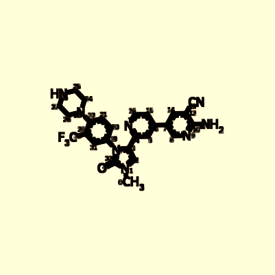 Cn1cc(-c2cc(-c3cnc(N)c(C#N)c3)ccn2)n(-c2ccc(N3CCNCC3)c(C(F)(F)F)c2)c1=O